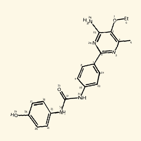 CCOc1c(C)nc(-c2ccc(NC(=O)Nc3ccc(O)cc3)cc2)nc1N